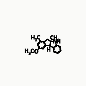 COc1cc(C)c2c(c1)[C@@H]1c3ccccc3N[C@]1(C)C2